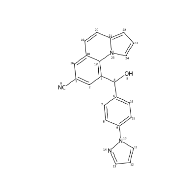 N#Cc1cc(C(O)c2ccc(-n3cccn3)cc2)c2c(ccc3cccn32)c1